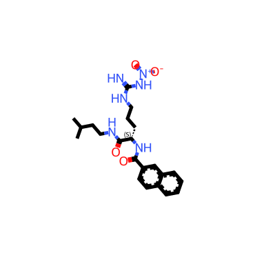 CC(C)CCNC(=O)[C@H](CCCNC(=N)N[N+](=O)[O-])NC(=O)c1ccc2ccccc2c1